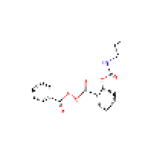 CCCNC(=O)Oc1ccccc1C(=O)OOC(=O)c1ccccc1